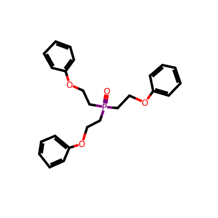 O=P(CCOc1ccccc1)(CCOc1ccccc1)CCOc1ccccc1